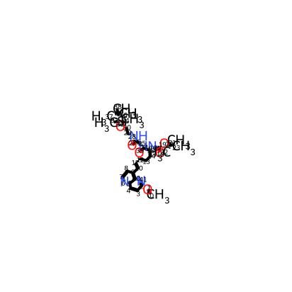 COc1ccc2nccc(C=C[C@@H]3CC[C@@H](NC(=O)OC(C)(C)C)[C@@H](CC(=O)NCCO[Si](C)(C)C(C)(C)C)O3)c2n1